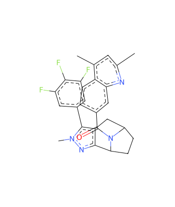 Cc1cc(C)c2ccc(C(=O)N3C4CCC3c3nn(C)c(-c5cc(F)c(F)c(F)c5)c3C4)cc2n1